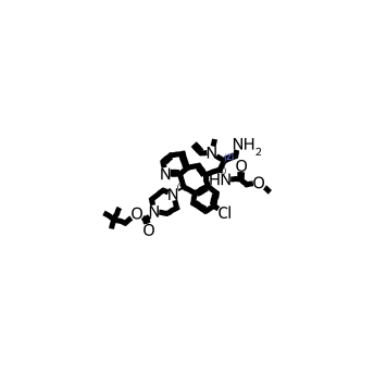 C=CN(C)/C(=C\N)[C@H](NC(=O)COC)C1=Cc2cccnc2[C@@H](N2CCN(C(=O)OCC(C)(C)C)CC2)c2ccc(Cl)cc21